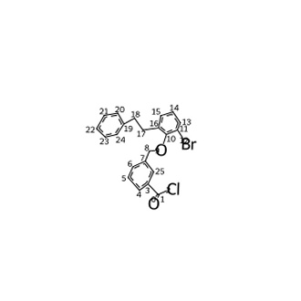 O=C(Cl)c1cccc(COc2c(Br)cccc2CCc2ccccc2)c1